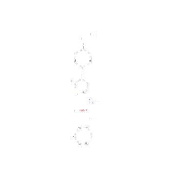 COc1ccc(-c2cc(NC(=O)Oc3ccccc3)sn2)cc1